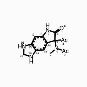 CC(=O)N(C)C1(C(C)=O)C(=O)Nc2cc3c(cc21)NCN3